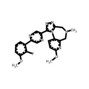 COc1ccc2c(n1)CN(C)Cc1nnc(-c3cnc(-c4cccc(OC)c4F)cn3)n1-2